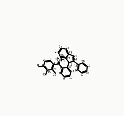 Cc1ccc(C(=N)c2ccccc2C2C(c3ccccc3)=Cc3ccccc32)c(C)c1C